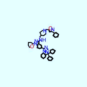 c1ccc(-c2cc(CN3CCC(CNc4nn(C5CCCCO5)c5ccc(-c6ncn(C(c7ccccc7)(c7ccccc7)c7ccccc7)n6)cc45)CC3)on2)cc1